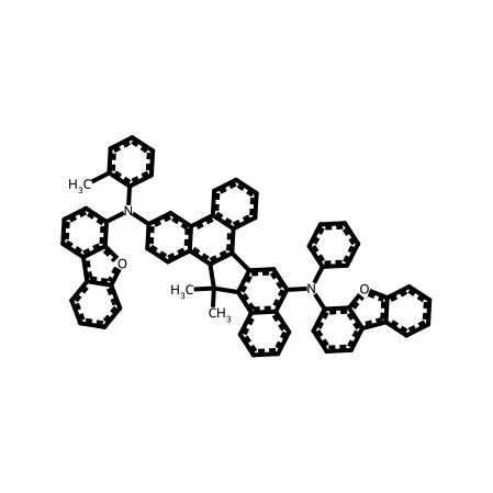 Cc1ccccc1N(c1ccc2c3c(c4ccccc4c2c1)-c1cc(N(c2ccccc2)c2cccc4c2oc2ccccc24)c2ccccc2c1C3(C)C)c1cccc2c1oc1ccccc12